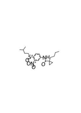 CCCCC1(C(=O)Nc2ccc([S+]([O-])CCC(C)C)c([N+](=O)[O-])c2)CC1